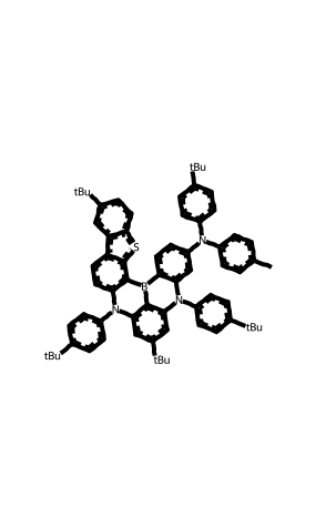 Cc1ccc(N(c2ccc(C(C)(C)C)cc2)c2ccc3c(c2)N(c2ccc(C(C)(C)C)cc2)c2cc(C(C)(C)C)cc4c2B3c2c(ccc3c2sc2ccc(C(C)(C)C)cc23)N4c2ccc(C(C)(C)C)cc2)cc1